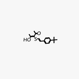 CC(=O)C(SC=Cc1ccc(C(C)(C)C)cc1)=C(C)O